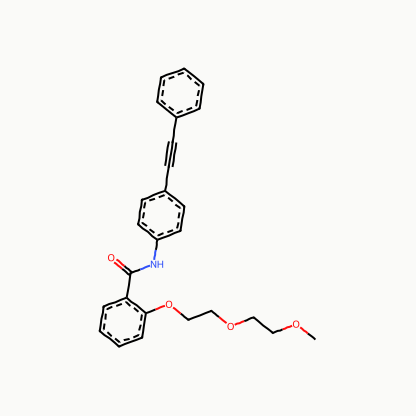 COCCOCCOc1ccccc1C(=O)Nc1ccc(C#Cc2ccccc2)cc1